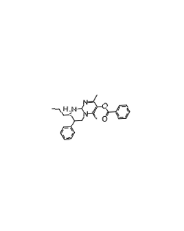 CCCCC(CN1C(C)=C(OC(=O)c2ccccc2)C(C)=NC1N)c1ccccc1